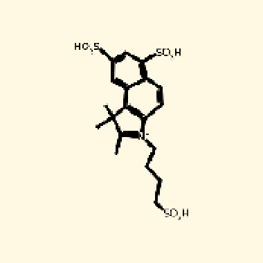 CC1=[N+](CCCCS(=O)(=O)O)c2ccc3c(S(=O)(=O)O)cc(S(=O)(=O)O)cc3c2C1(C)C